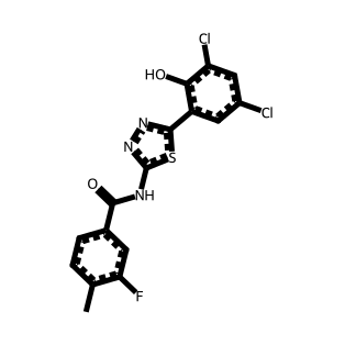 Cc1ccc(C(=O)Nc2nnc(-c3cc(Cl)cc(Cl)c3O)s2)cc1F